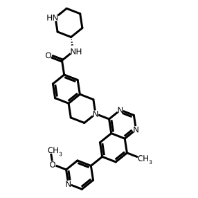 COc1cc(-c2cc(C)c3ncnc(N4CCc5ccc(C(=O)N[C@H]6CCCNC6)cc5C4)c3c2)ccn1